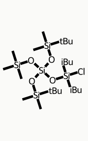 CCC(C)[Si](Cl)(O[Si](O[Si](C)(C)C)(O[Si](C)(C)C(C)(C)C)O[Si](C)(C)C(C)(C)C)C(C)CC